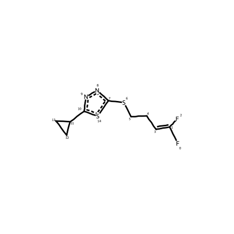 FC(F)=CCCSc1nnc(C2CC2)s1